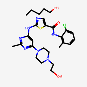 CCCCCO.Cc1nc(Nc2ncc(C(=O)Nc3c(C)cccc3Cl)s2)cc(N2CCN(CCO)CC2)n1